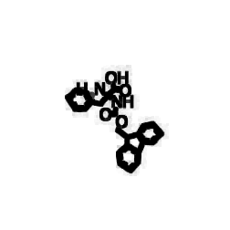 NC(Cc1ccccc1)(NC(=O)OCC1c2ccccc2-c2ccccc21)C(=O)O